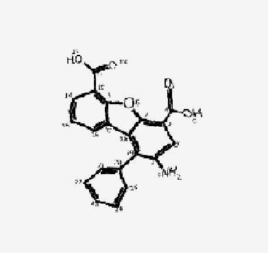 Nc1cc(C(=O)O)c2oc3c(C(=O)O)cccc3c2c1-c1ccccc1